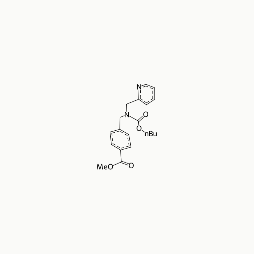 CCCCOC(=O)N(Cc1ccc(C(=O)OC)cc1)Cc1ccccn1